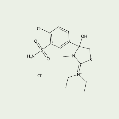 CC[N+](CC)=C1SCC(O)(c2ccc(Cl)c(S(N)(=O)=O)c2)N1C.[Cl-]